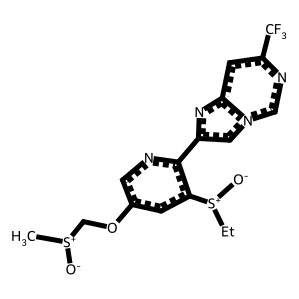 CC[S+]([O-])c1cc(OC[S+](C)[O-])cnc1-c1cn2cnc(C(F)(F)F)cc2n1